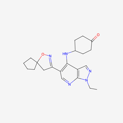 CCn1ncc2c(NC3CCC(=O)CC3)c(C3=NOC4(CCCC4)C3)cnc21